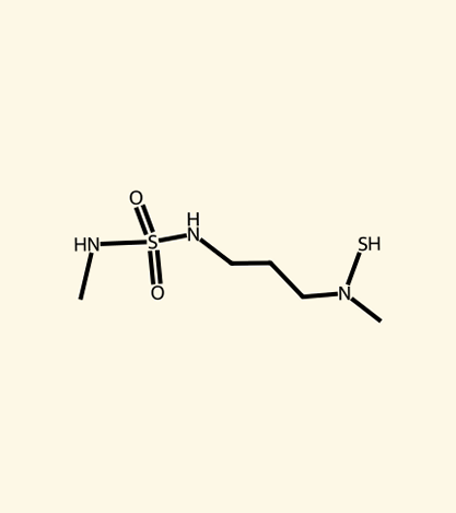 CNS(=O)(=O)NCCCN(C)S